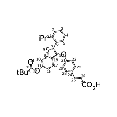 CC(C)c1ccccc1-c1sc2cc(OC(=O)C(C)(C)C)ccc2c1Oc1ccc(/C=C/C(=O)O)cc1